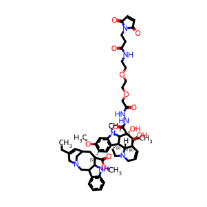 CCC1=CC2CN(C1)CC1c3ccccc3NC1[C@@](C(=O)OC)(c1cc3c(cc1OC)N(C)C1[C@]34CCN3CC=C[C@@](CC)([C@@H](O)[C@]1(O)C(=O)NNC(=O)COCCOCCNC(=O)CCN1C(=O)C=CC1=O)[C@H]34)C2